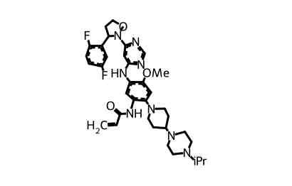 C=CC(=O)Nc1cc(Nc2cc(N3OCCC3c3cc(F)ccc3F)ncn2)c(OC)cc1N1CCC(N2CCN(C(C)C)CC2)CC1